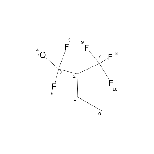 CCC(C([O])(F)F)C(F)(F)F